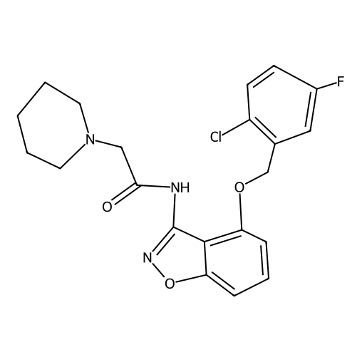 O=C(CN1CCCCC1)Nc1noc2cccc(OCc3cc(F)ccc3Cl)c12